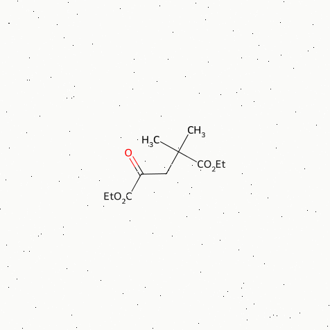 CCOC(=O)C(=O)CC(C)(C)C(=O)OCC